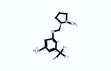 CN1CCC[C@@H]1COc1cc(N)cc(C(F)(F)F)c1